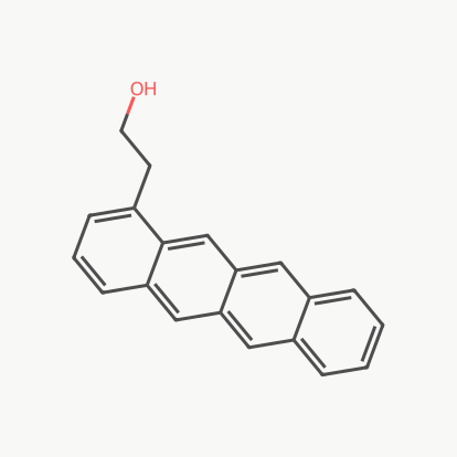 OCCc1cccc2cc3cc4ccccc4cc3cc12